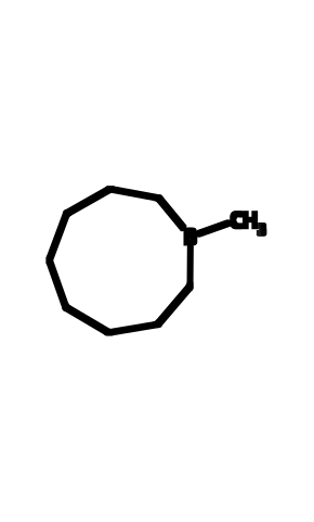 CB1CCCCCCCC1